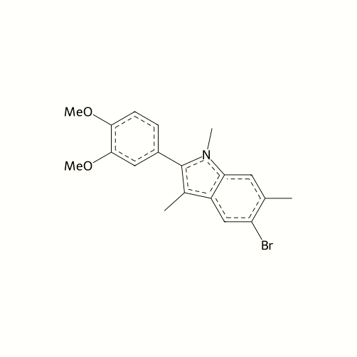 COc1ccc(-c2c(C)c3cc(Br)c(C)cc3n2C)cc1OC